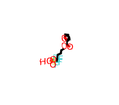 O=C(OCCCCC(F)(F)C(F)(F)S(=O)(=O)O)c1ccco1